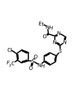 CCNC(=O)c1ncnc(Sc2ccc(NS(=O)(=O)c3ccc(Cl)c(C(F)(F)F)c3)cc2)n1